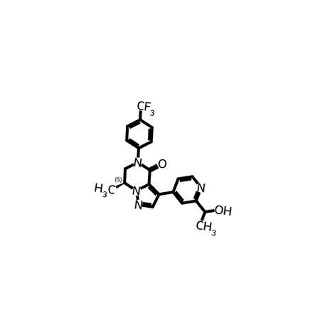 CC(O)c1cc(-c2cnn3c2C(=O)N(c2ccc(C(F)(F)F)cc2)C[C@@H]3C)ccn1